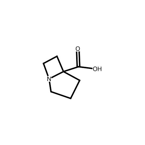 O=C(O)C12CCCN1CC2